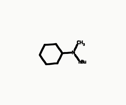 CCCCN(C)C1CCCCC1